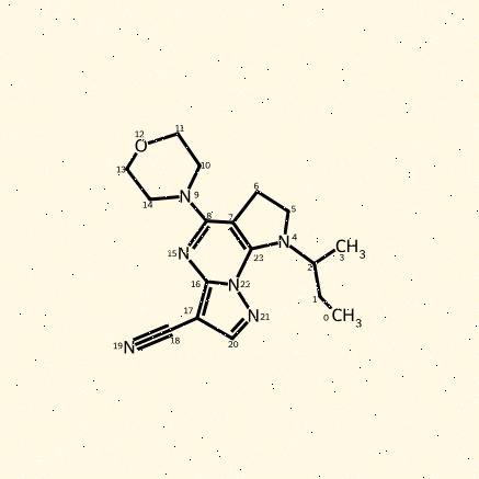 CCC(C)N1CCc2c(N3CCOCC3)nc3c(C#N)cnn3c21